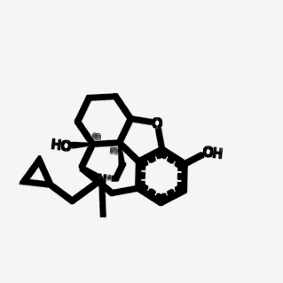 C[N+]1(CC2CC2)CC[C@]23c4c5ccc(O)c4OC2CCC[C@@]3(O)C1C5